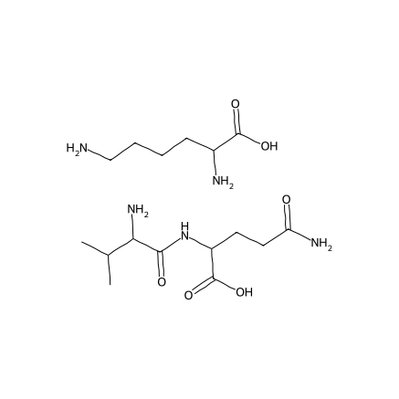 CC(C)C(N)C(=O)NC(CCC(N)=O)C(=O)O.NCCCCC(N)C(=O)O